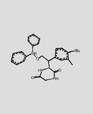 Cc1cc(C(CO[SiH](c2ccccc2)c2ccccc2)C2NC(=O)CNC2=O)ccc1C(C)(C)C